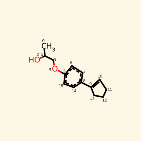 CC(O)COc1ccc(C2=CCCC2)cc1